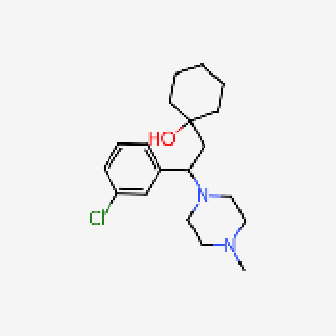 CN1CCN(C(CC2(O)CCCCC2)c2cccc(Cl)c2)CC1